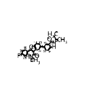 CCC(C)NC(=O)c1cccc(-c2ccc3oc(-c4ccc(F)cc4)c(C(=O)NC)c3c2)c1